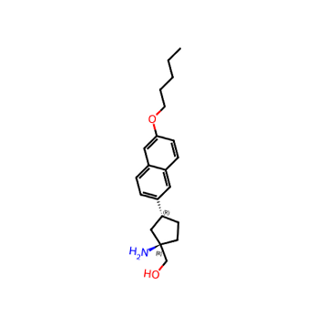 CCCCCOc1ccc2cc([C@@H]3CC[C@](N)(CO)C3)ccc2c1